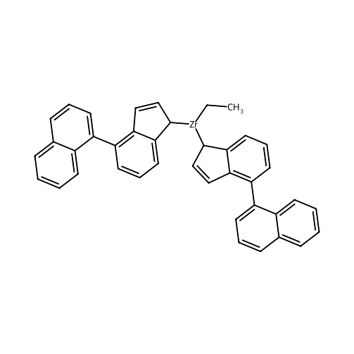 C[CH2][Zr]([CH]1C=Cc2c(-c3cccc4ccccc34)cccc21)[CH]1C=Cc2c(-c3cccc4ccccc34)cccc21